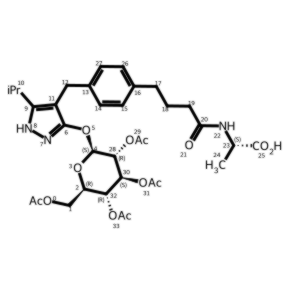 CC(=O)OC[C@H]1O[C@@H](Oc2n[nH]c(C(C)C)c2Cc2ccc(CCCC(=O)N[C@@H](C)C(=O)O)cc2)[C@H](OC(C)=O)[C@@H](OC(C)=O)[C@@H]1OC(C)=O